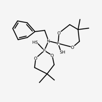 CC1(C)CO[P](S)(N(Cc2ccccc2)[P]2(S)OCC(C)(C)CO2)OC1